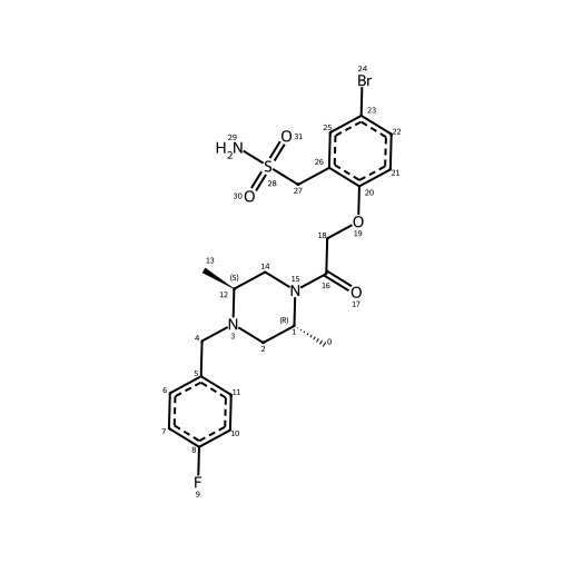 C[C@@H]1CN(Cc2ccc(F)cc2)[C@@H](C)CN1C(=O)COc1ccc(Br)cc1CS(N)(=O)=O